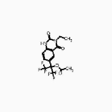 CCn1c(=O)[nH]c2ccc(C(OC(C)=O)(C(F)(F)F)C(F)(F)F)cc2c1=O